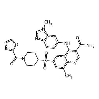 Cc1cc(S(=O)(=O)C2CCN(C(=O)c3ccco3)CC2)cc2c(Nc3ccc4ncn(C)c4c3)c(C(N)=O)cnc12